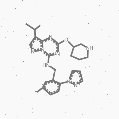 CC(C)c1cnn2c(NCc3cc(F)ccc3-n3cccn3)nc(OC3CCCNC3)nc12